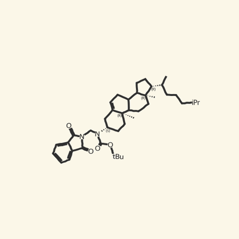 CC(C)CCCC(C)[C@H]1CCC2C3CC=C4C[C@@H](N(CN5C(=O)c6ccccc6C5=O)C(=O)OC(C)(C)C)CC[C@]4(C)C3CC[C@@]21C